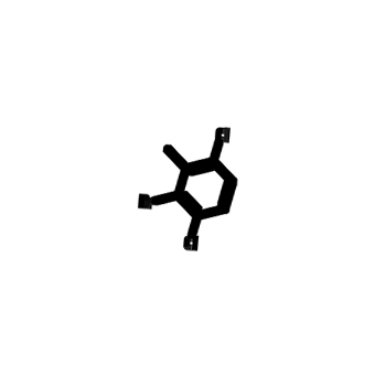 Cc1c(Cl)ccc(Cl)c1Br